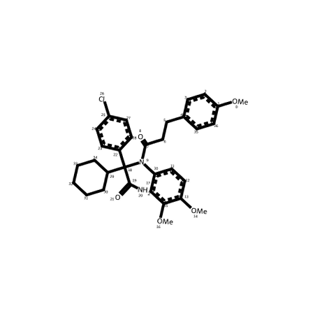 COc1ccc(CCC(=O)N(c2ccc(OC)c(OC)c2)C(C(N)=O)(c2ccc(Cl)cc2)C2CCCCC2)cc1